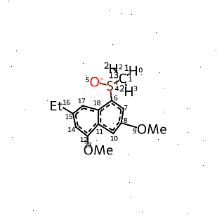 [1H][13C]([2H])([2H])[S+]([O-])c1cc(OC)cc2c(OC)cc(CC)cc12